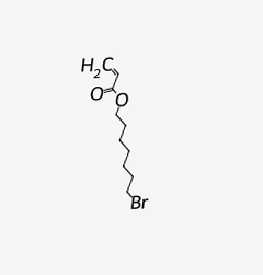 C=CC(=O)OCCCCCCCBr